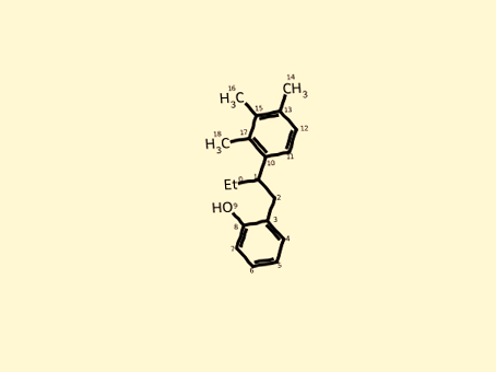 CCC(Cc1ccccc1O)c1ccc(C)c(C)c1C